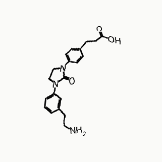 NCCc1cccc(N2CCN(c3ccc(CCC(=O)O)cc3)C2=O)c1